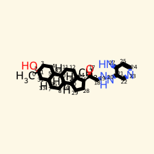 C[C@@]1(O)CC[C@H]2[C@H](CC[C@@H]3[C@@H]2CC[C@]2(C)[C@@H](C(=O)CN/N=C4/C=NC=CC4=N)CC[C@@H]32)C1